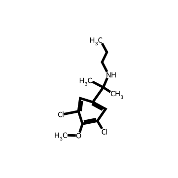 CCCNC(C)(C)c1cc(Cl)c(OC)c(Cl)c1